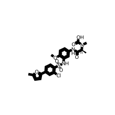 COc1ccc(NC(=O)[C@H](C)N(C)C(=O)O)cc1NS(=O)(=O)c1ccc(-c2ccc(C)o2)cc1Cl